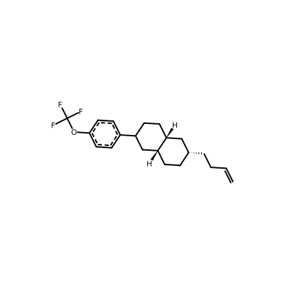 C=CCC[C@@H]1CC[C@@H]2CC(c3ccc(OC(F)(F)F)cc3)CC[C@@H]2C1